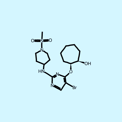 CS(=O)(=O)N1CCC(Nc2ncc(Br)c(O[C@H]3CCCCC[C@H]3O)n2)CC1